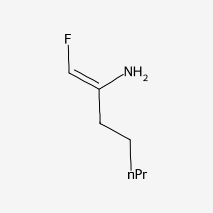 CCCCC/C(N)=C/F